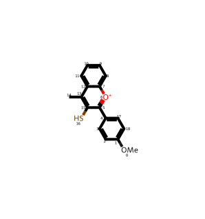 COc1ccc(-c2[o+]c3ccccc3c(C)c2S)cc1